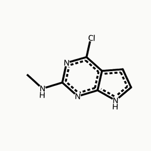 CNc1nc(Cl)c2cc[nH]c2n1